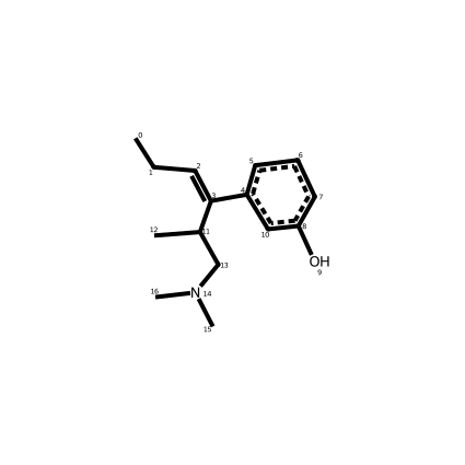 CC/C=C(/c1cccc(O)c1)C(C)CN(C)C